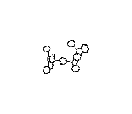 c1ccc(-c2nc(-c3ccc(-n4c5ccccc5c5cc6c7ccccc7n(-c7ccccc7)c6cc54)cc3)c3oc4ccccc4c3n2)cc1